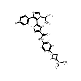 CC(C)n1cnc(-c2ccc(F)cc2)c1-c1nc(C(=O)Nc2ccc(N3CC(N(C)C)C3)cn2)cs1